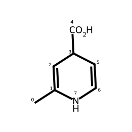 CC1=CC(C(=O)O)C=CN1